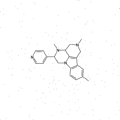 Cc1ccc2c(c1)c1c3n2CC(c2ccncc2)N(C)C3CN(C)C1